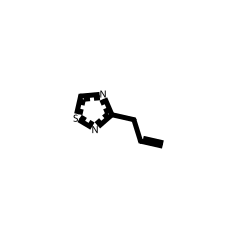 C=CCc1ncsn1